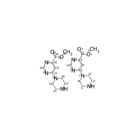 COC(=O)c1cc(N2CCNCC2)ncn1.COC(=O)c1cc(N2CCNCC2)ncn1